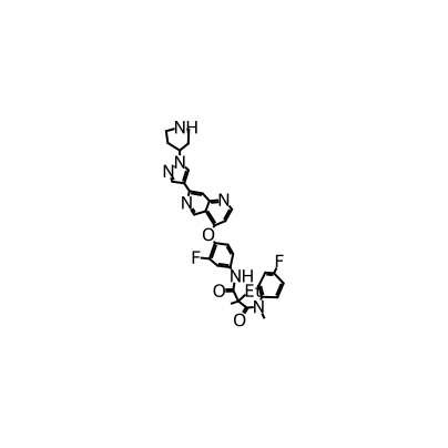 CCC(C)(C(=O)Nc1ccc(Oc2ccnc3cc(-c4cnn(C5CCNCC5)c4)ncc23)c(F)c1)C(=O)N(C)c1ccc(F)cc1